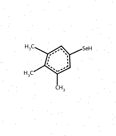 Cc1cc([SeH])cc(C)c1C